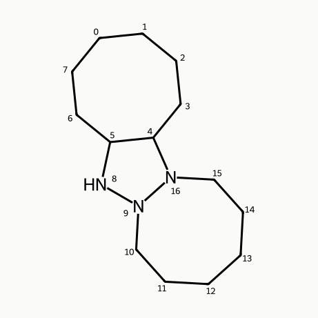 C1CCCC2C(CC1)NN1CCCCCCN21